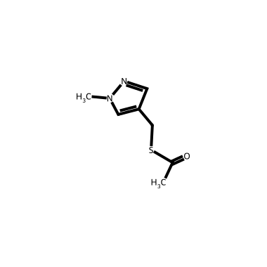 CC(=O)SCc1cnn(C)c1